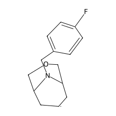 Fc1ccc(CN2C3C[CH]CC2COC3)cc1